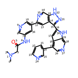 CN(C)CC(=O)Nc1cncc(-c2cc3c(-c4cc5c(-c6cccnc6)cncc5[nH]4)n[nH]c3cn2)c1